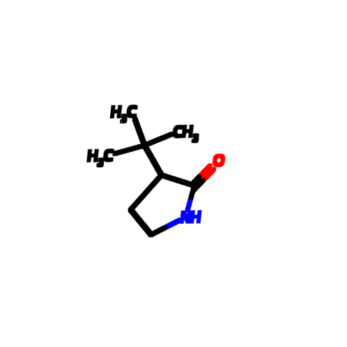 CC(C)(C)C1CCNC1=O